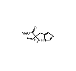 C=CC(N)(Cc1cnc[nH]1)C(=O)OC